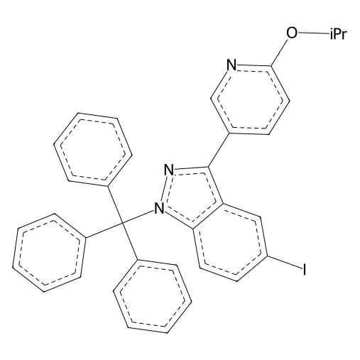 CC(C)Oc1ccc(-c2nn(C(c3ccccc3)(c3ccccc3)c3ccccc3)c3ccc(I)cc23)cn1